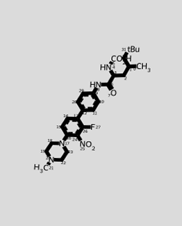 CC(CC(NC(=O)O)C(=O)Nc1ccc(-c2ccc(N3CCN(C)CC3)c([N+](=O)[O-])c2F)cc1)CC(C)(C)C